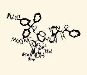 COc1ccc(C(OC[C@@H]2O[C@@H](n3cnc4c(NC(=O)c5ccccc5)ncnc43)[C@H](O[Si](C)(C)C(C)(C)C)[C@@H]2C(C#N)COP(O)N(C(C)C)C(C)C)(c2ccccc2)c2ccc(OC)cc2)cc1